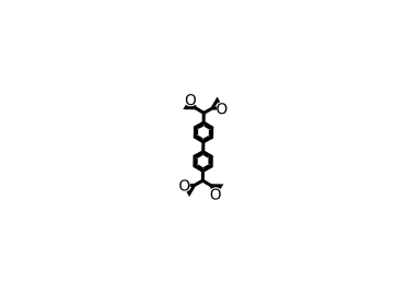 c1cc(C(C2CO2)C2CO2)ccc1-c1ccc(C(C2CO2)C2CO2)cc1